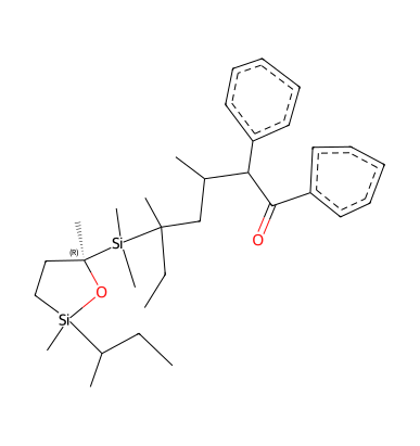 CCC(C)[Si]1(C)CC[C@@](C)([Si](C)(C)C(C)(CC)CC(C)C(C(=O)c2ccccc2)c2ccccc2)O1